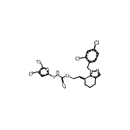 O=C(NSc1cc(Cl)c(Cl)s1)OC/C=C1\CCCc2cnn(Cc3ccc(Cl)cc3Cl)c21